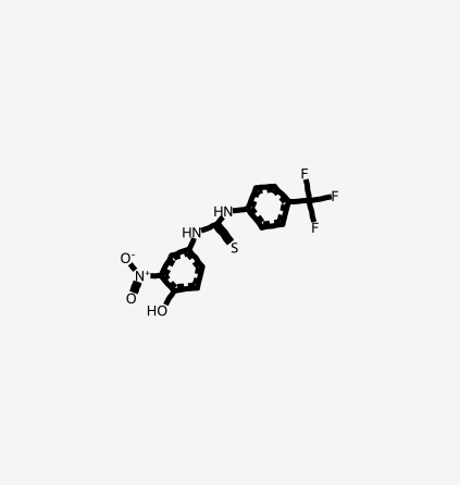 O=[N+]([O-])c1cc(NC(=S)Nc2ccc(C(F)(F)F)cc2)ccc1O